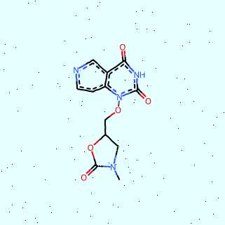 CN1CC(COn2c(=O)[nH]c(=O)c3cnccc32)OC1=O